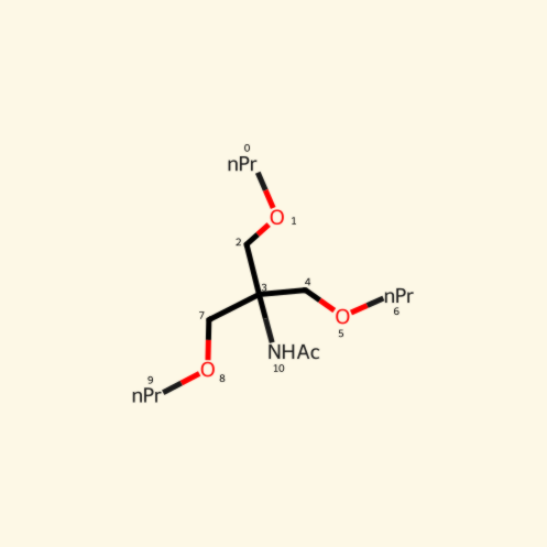 CCCOCC(COCCC)(COCCC)NC(C)=O